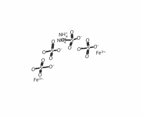 O=S(=O)([O-])[O-].O=S(=O)([O-])[O-].O=S(=O)([O-])[O-].O=S(=O)([O-])[O-].[Fe+3].[Fe+3].[NH4+].[NH4+]